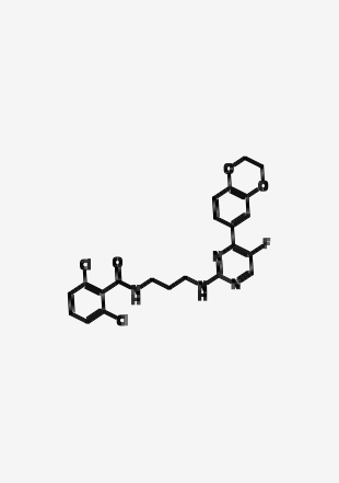 O=C(NCCCNc1ncc(F)c(-c2ccc3c(c2)OCCO3)n1)c1c(Cl)cccc1Cl